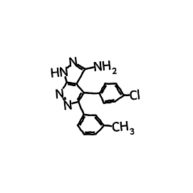 Cc1cccc(-c2nnc3[nH]nc(N)c3c2-c2ccc(Cl)cc2)c1